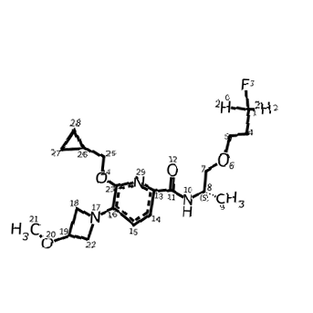 [2H]C([2H])(F)CCOC[C@H](C)NC(=O)c1ccc(N2CC(OC)C2)c(OCC2CC2)n1